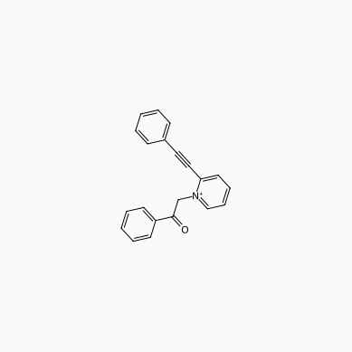 O=C(C[n+]1ccccc1C#Cc1ccccc1)c1ccccc1